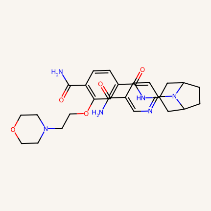 NC(=O)c1ccc(N2C3CCC2CC(NC(=O)c2ccc(C(N)=O)c(OCCN4CCOCC4)c2)C3)nc1